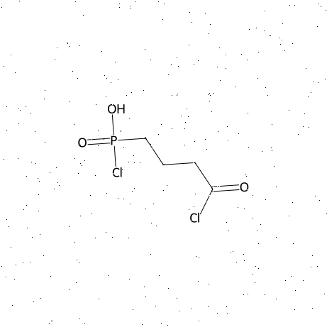 O=C(Cl)CCCP(=O)(O)Cl